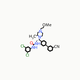 COCCN1CCN([C@@H](CNC(=O)Nc2cc(Cl)cc(Cl)c2)c2ccc(-c3cccc(C#N)c3)cc2)[C@@H](C)C1